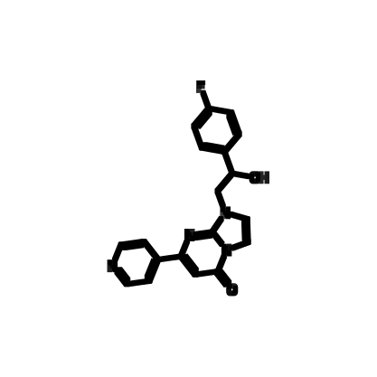 O=c1cc(-c2ccncc2)nc2n(CC(O)c3ccc(F)cc3)ccn12